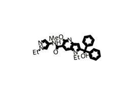 CCn1cc(NC(=O)c2cc3c(cc(C(O)(c4ccccc4)c4ccccc4)n3CC)nc2OC)cn1